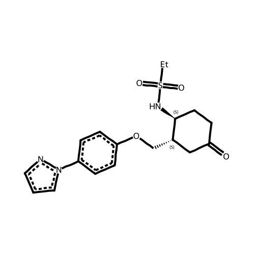 CCS(=O)(=O)N[C@H]1CCC(=O)C[C@@H]1COc1ccc(-n2cccn2)cc1